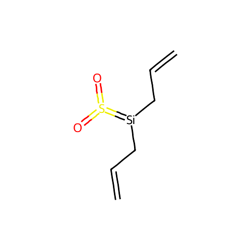 C=CC[Si](CC=C)=S(=O)=O